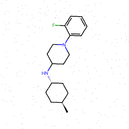 C[C@H]1CC[C@H](NC2CCN(c3ccccc3F)CC2)CC1